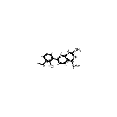 CNc1nc(N)nc2nc(-c3cccc(CI)c3Cl)ccc12